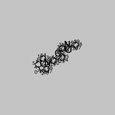 CC1(C)c2ccccc2-c2c(N(c3ccccc3)c3ccc(-c4cccc5c4oc4ccc6nc(-c7ccccc7)oc6c45)cc3)cccc21